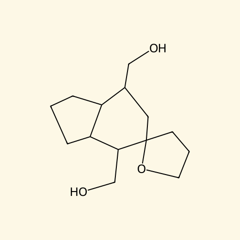 OCC1CC2(CCCO2)C(CO)C2CCCC12